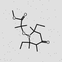 CCC1(C)CC(=O)C(C)C(C)(CC)N1OC(C)(C)C(=O)OC